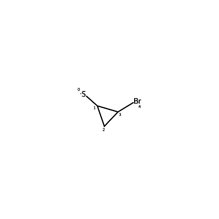 [S]C1CC1Br